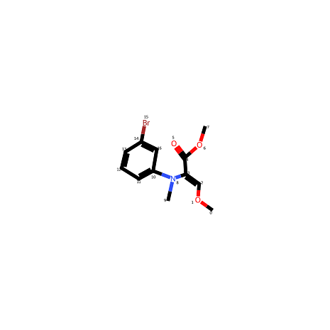 CO/C=C(/C(=O)OC)N(C)c1cccc(Br)c1